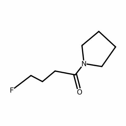 O=C(CCCF)N1CCCC1